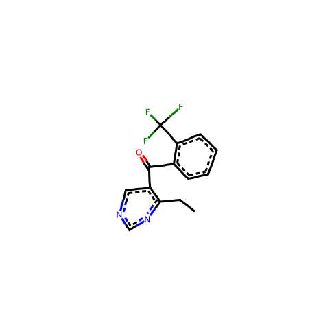 CCc1ncncc1C(=O)c1ccccc1C(F)(F)F